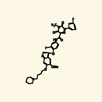 COc1cc2c(Oc3ccc(NC(=O)c4nn(-c5cccc(F)c5)c(=O)n(C)c4=O)cc3F)ccnc2cc1OCCCCN1CCCCC1